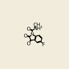 CNC(=O)N1C(=O)C(=O)c2cc(F)ccc21